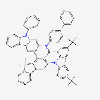 CC(C)(C)c1ccc2c(c1)c1cc(C(C)(C)C)cc3c1n2-c1cc2c(c4c1B3N(c1ccc(-c3ccccc3)cc1)c1cc3c(cc1-4)c1ccccc1n3-c1ccccc1)C(C)(C)c1ccccc1-2